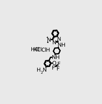 CN(C)c1nc(NC2CCC(NCc3ccc(N)cc3OC(F)(F)F)CC2)nc2ccccc12.Cl.Cl.Cl